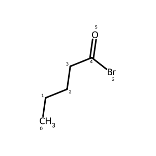 CCCCC(=O)Br